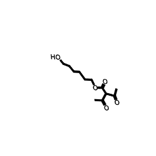 CC(=O)C(C(C)=O)C(=O)OCCCCCCO